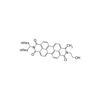 C=c1c2ccc3c4ccc5c6c(ccc(c7ccc(c(=O)n1CCO)c2c37)c64)C(=O)N(C(CCCCCC)CCCCCC)C5=O